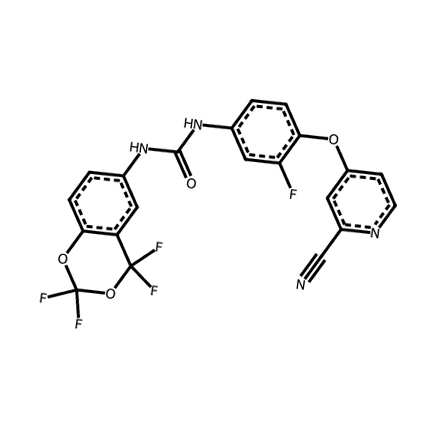 N#Cc1cc(Oc2ccc(NC(=O)Nc3ccc4c(c3)C(F)(F)OC(F)(F)O4)cc2F)ccn1